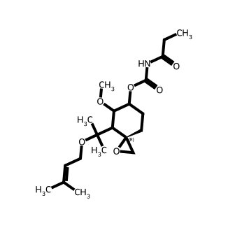 CCC(=O)NC(=O)OC1CC[C@]2(CO2)C(C(C)(C)OCC=C(C)C)C1OC